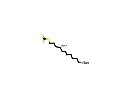 CCCCCCCCCCCCCCCCCCCCSC(=S)[S-].[Na+]